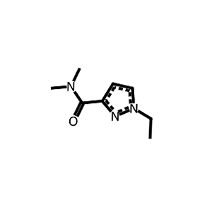 CCn1ccc(C(=O)N(C)C)n1